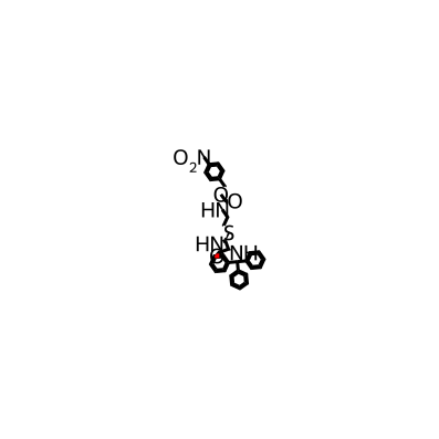 O=C(NCCS[C@@H]1NC(=O)[C@H]1NC(c1ccccc1)(c1ccccc1)c1ccccc1)OCc1ccc([N+](=O)[O-])cc1